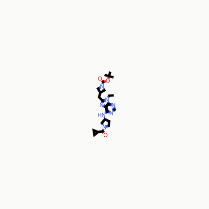 CCn1c(CC2CN(C(=O)OC(C)(C)C)C2)nc2c(N[C@H]3CCN(C(=O)C4CC4)C3)ncnc21